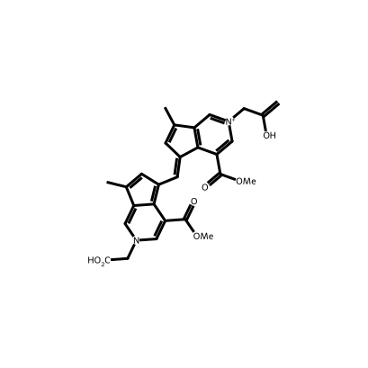 C=C(O)C[n+]1cc(C(=O)OC)c2c(c1)C(C)=C/C2=C\c1cc(C)c2cn(CC(=O)O)cc(C(=O)OC)c1-2